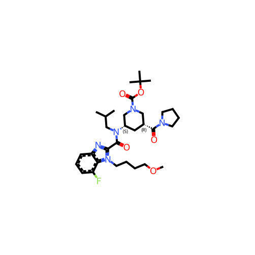 COCCCCn1c(C(=O)N(CC(C)C)[C@H]2C[C@@H](C(=O)N3CCCC3)CN(C(=O)OC(C)(C)C)C2)nc2cccc(F)c21